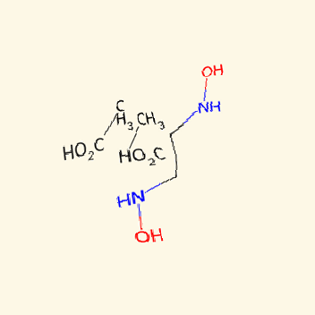 CC(=O)O.CC(=O)O.ONCCNO